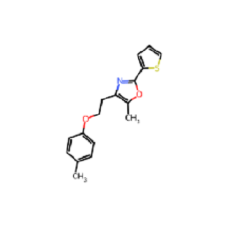 Cc1ccc(OCCc2nc(-c3cccs3)oc2C)cc1